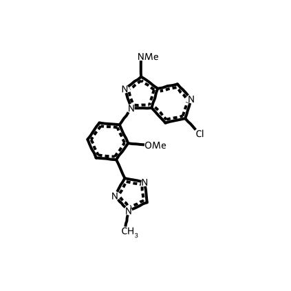 CNc1nn(-c2cccc(-c3ncn(C)n3)c2OC)c2cc(Cl)ncc12